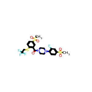 CS(=O)(=O)c1ccc(N2CCN(C(=O)c3cc(S(C)(=O)=O)ccc3SCC(F)(F)F)CC2)c(F)c1